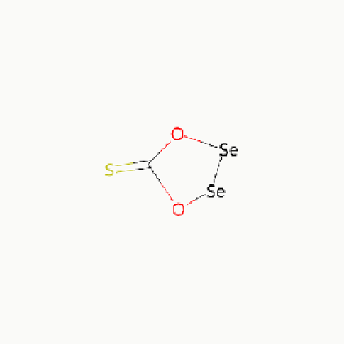 S=C1O[Se][Se]O1